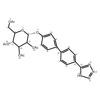 CC(=O)OCC1O[C@H](Oc2ccc(-c3ccc(-c4nnn[nH]4)cc3)cc2)C(OC(C)=O)C(OC(C)=O)[C@@H]1OC(C)=O